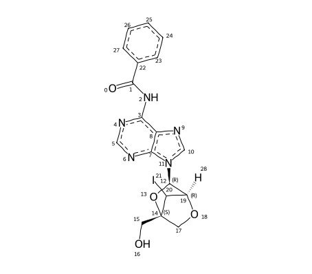 O=C(Nc1ncnc2c1ncn2[C@@H]1O[C@@]2(CO)CO[C@H]1C2I)c1ccccc1